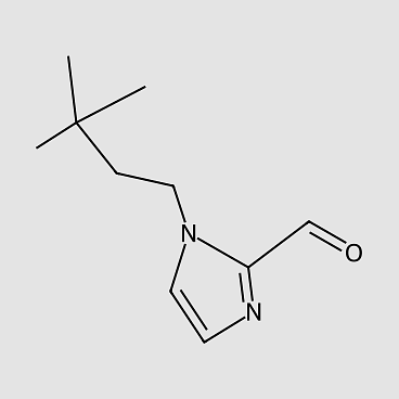 CC(C)(C)CCn1ccnc1C=O